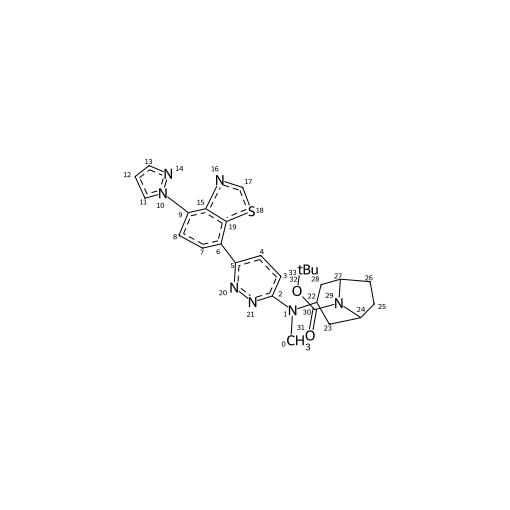 CN(c1ccc(-c2ccc(-n3cccn3)c3ncsc23)nn1)C1CC2CCC(C1)N2C(=O)OC(C)(C)C